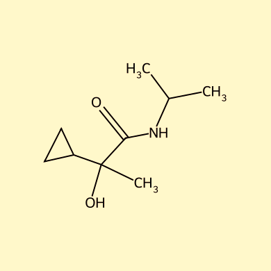 CC(C)NC(=O)C(C)(O)C1CC1